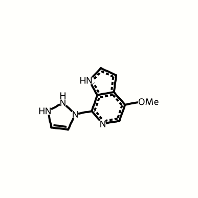 COc1cnc(N2C=CNN2)c2[nH]ccc12